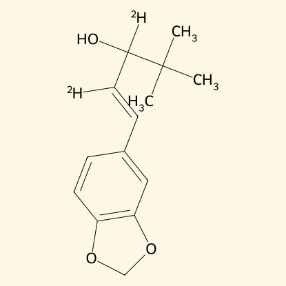 [2H]/C(=C\c1ccc2c(c1)OCO2)C([2H])(O)C(C)(C)C